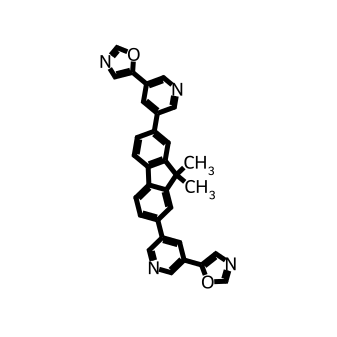 CC1(C)c2cc(-c3cncc(-c4cnco4)c3)ccc2-c2ccc(-c3cncc(-c4cnco4)c3)cc21